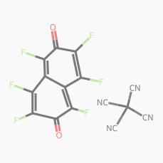 N#CC(C#N)(C#N)C#N.O=C1C(F)=C(F)C2=C(F)C(=O)C(F)=C(F)C2=C1F